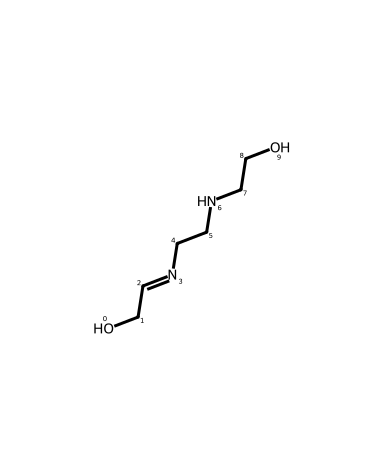 OC/C=N/CCNCCO